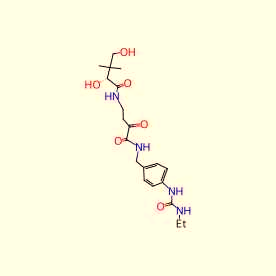 CCNC(=O)Nc1ccc(CNC(=O)C(=O)CCNC(=O)[C@H](O)C(C)(C)CO)cc1